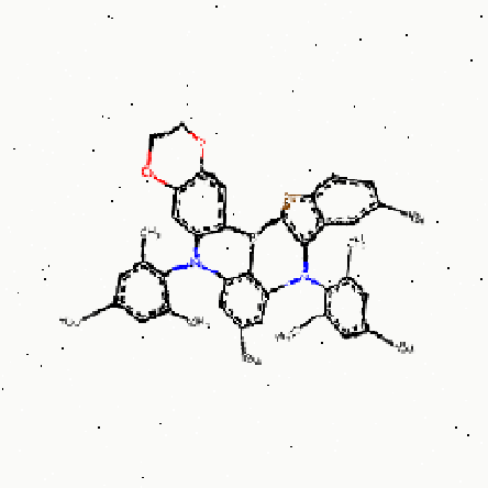 Cc1cc(C(C)(C)C)cc(C)c1N1c2cc3c(cc2B2c4sc5ccc(C(C)(C)C)cc5c4N(c4c(C)cc(C(C)(C)C)cc4C)c4cc(C(C)(C)C)cc1c42)OCCO3